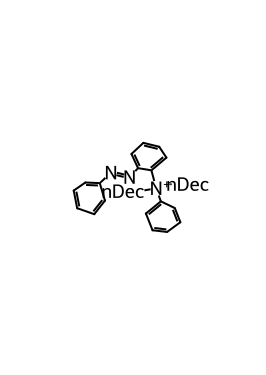 CCCCCCCCCC[N+](CCCCCCCCCC)(c1ccccc1)c1ccccc1N=Nc1ccccc1